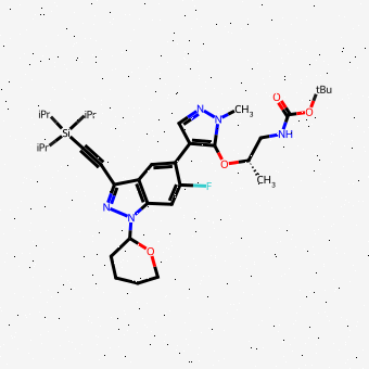 CC(C)[Si](C#Cc1nn(C2CCCCO2)c2cc(F)c(-c3cnn(C)c3O[C@@H](C)CNC(=O)OC(C)(C)C)cc12)(C(C)C)C(C)C